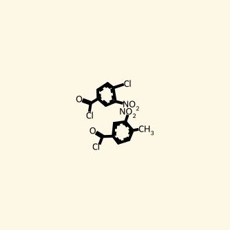 Cc1ccc(C(=O)Cl)cc1[N+](=O)[O-].O=C(Cl)c1ccc(Cl)c([N+](=O)[O-])c1